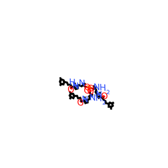 Cc1cc(C)cc(CCCC(=O)c2ccc(CCC(C)(N)COP(=O)(OCC(C)(N)CCc3ccc(C(=O)CCCc4cc(C)cc(C)c4)n3C)OCC(C)(N)CCc3ccc(C(=O)CCCc4cc(C)cc(C)c4)n3C)n2C)c1